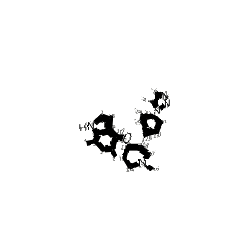 Cc1cc(C)c2[nH]ccc2c1O[C@@H]1CCN(C)C[C@H]1c1ccc(-n2ccnn2)cc1